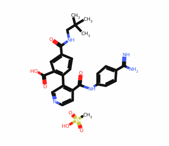 CC(C)(C)CNC(=O)c1ccc(-c2cnccc2C(=O)Nc2ccc(C(=N)N)cc2)c(C(=O)O)c1.CS(=O)(=O)O